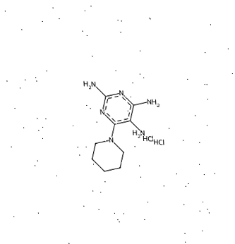 Cl.Cl.Nc1nc(N)c(N)c(N2CCCCC2)n1